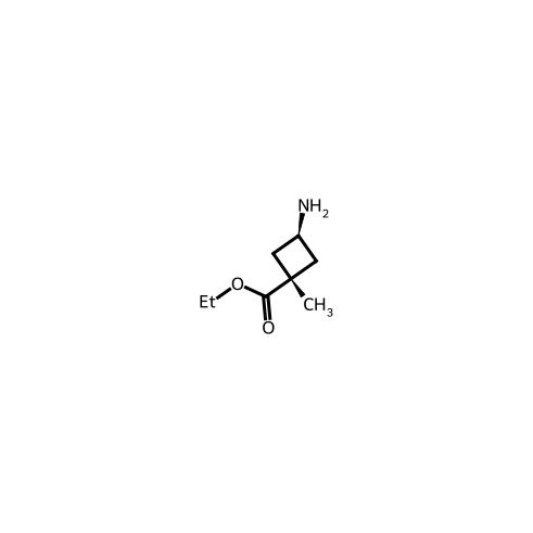 CCOC(=O)[C@]1(C)C[C@@H](N)C1